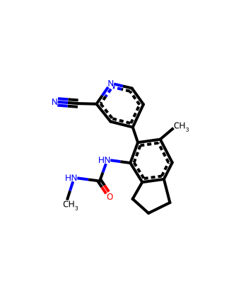 CNC(=O)Nc1c2c(cc(C)c1-c1ccnc(C#N)c1)CCC2